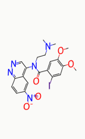 COc1cc(I)c(C(=O)N(CCN(C)C)c2cnnc3ccc([N+](=O)[O-])cc23)cc1OC